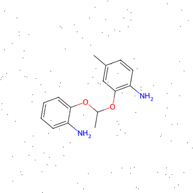 Cc1ccc(N)c(OC(C)Oc2ccccc2N)c1